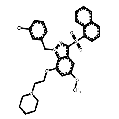 COc1cc(OCCN2CCCCC2)c2c(c1)c(S(=O)(=O)c1cccc3ccccc13)nn2Cc1cccc(Cl)c1